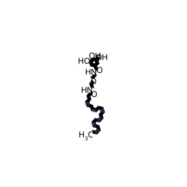 CC/C=C\C/C=C\C/C=C\C/C=C\C/C=C\C/C=C\CCC(=O)NCCOCCNC(=O)c1cc(O)c(O)c(O)c1